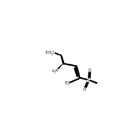 CCOC(=O)C[C@H](N)/C=C(\Cl)S(C)(=O)=O